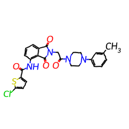 Cc1cccc(N2CCN(C(=O)CN3C(=O)c4cccc(NC(=O)c5ccc(Cl)s5)c4C3=O)CC2)c1